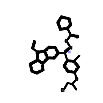 C=Cn1c2ccccc2c2cc(/C(=N\OC(=O)c3ccccc3)c3ccc(OC(C)CCl)cc3C)ccc21